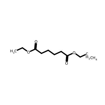 C.CCOC(=O)CCCCC(=O)OCC